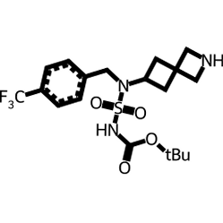 CC(C)(C)OC(=O)NS(=O)(=O)N(Cc1ccc(C(F)(F)F)cc1)C1CC2(CNC2)C1